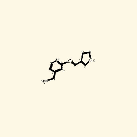 NCc1ccnc(OCC2CCOC2)c1